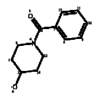 [O]C1CCN(C(=O)c2ccccc2)CC1